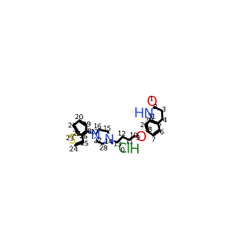 Cl.O=C1CCc2ccc(OCCCCN3CCN(c4cccc5sccc45)CC3)cc2N1